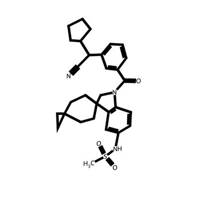 CS(=O)(=O)Nc1ccc2c(c1)C1(CCC3(CC3)CC1)CN2C(=O)c1cccc(C(C#N)C2CCCC2)c1